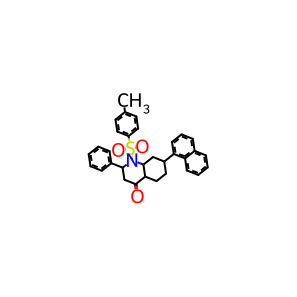 Cc1ccc(S(=O)(=O)N2C(c3ccccc3)CC(=O)C3CCC(c4cccc5ccccc45)CC32)cc1